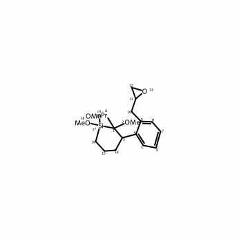 CCCC1(OC)C(c2ccccc2CC2CO2)CCC[Si]1(OC)OC